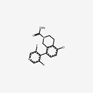 COC(=O)N1CCc2c(Cl)ccc(-c3c(F)cncc3F)c2C1